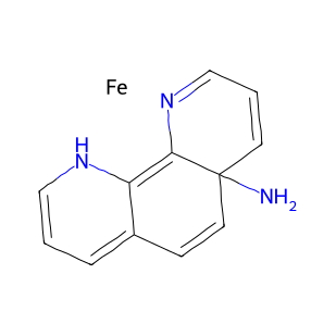 NC12C=CC=NC1=C1NC=CC=C1C=C2.[Fe]